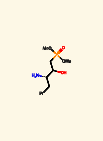 COP(=O)(C[C@@H](O)[C@@H](N)CC(C)C)OC